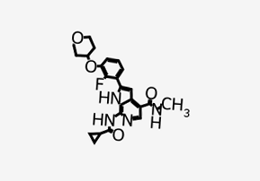 CNC(=O)c1cnc(NC(=O)C2CC2)c2[nH]c(-c3cccc(OC4CCOCC4)c3F)cc12